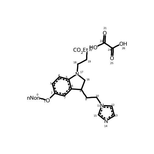 CCCCCCCCCOc1ccc2c(c1)C(CCn1ccnc1)CN2CCC(=O)OCC.O=C(O)C(=O)O